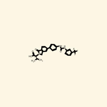 CC(C)[C@@H](C(=O)O)N1Cc2cc(-c3ccc(NC(=O)Nc4cccc(C(F)(F)F)c4)cc3)ccc2C1=O